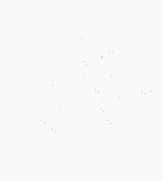 CC(=O)N1c2ccc(-c3cnn(C4CC4)c3)cc2N(c2nn(C)c3ccncc23)C[C@@H]1C